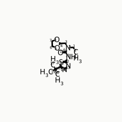 CCN(CC1OCCO1)C(=O)Nc1nnc(C(C)(C)C)s1